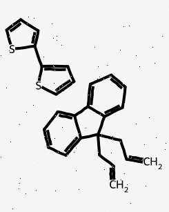 C=CCC1(CC=C)c2ccccc2-c2ccccc21.c1csc(-c2cccs2)c1